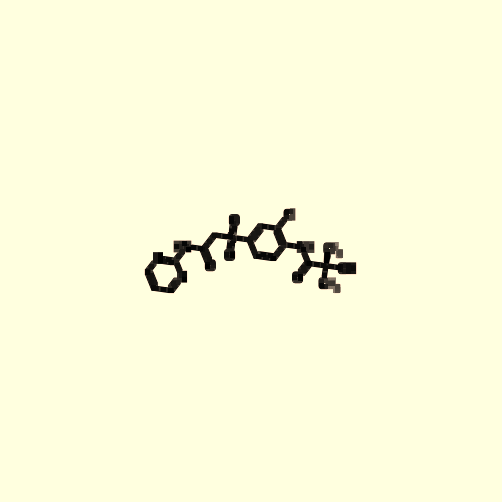 C[C@@](O)(C(=O)Nc1ccc(S(=O)(=O)CC(=O)Nc2ncccn2)cc1Cl)C(F)(F)F